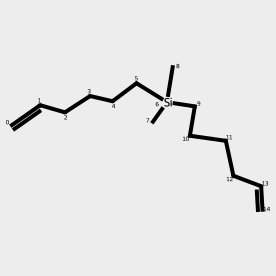 C=CCCCC[Si](C)(C)CCCCC=C